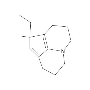 CCC1(C)C=C2CCCN3CCCC1=C23